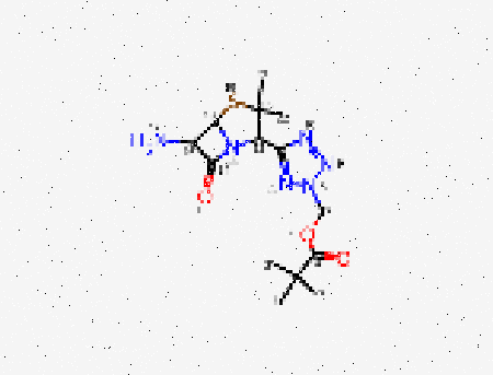 CC(C)(C)C(=O)OCn1nnc(C2N3C(=O)C(N)C3SC2(C)C)n1